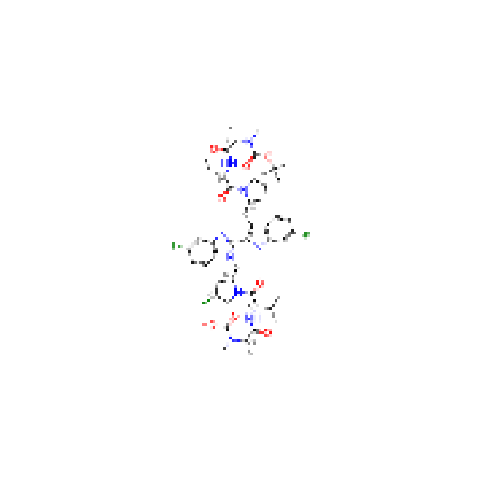 CC[C@H](NC(=O)[C@H](C)N(C)C(=O)OC(C)(C)C)C(=O)N1CCC[C@H]1Cc1c(-c2nc3cc(F)ccc3n2C[C@@H]2C[C@H](F)CN2C(=O)[C@@H](NC(=O)[C@H](C)N(C)C(=O)O)C(C)C)[nH]c2cc(F)ccc12